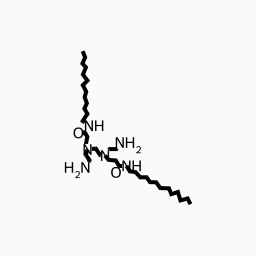 CCCCCCCCCCCCCNC(=O)CCN(CCN)CCN(CCN)CCC(=O)NCCCCCCCCCCCCC